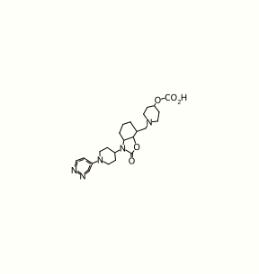 O=C(O)OC1CCN(CC2CCCC3C2OC(=O)N3C2CCN(c3ccnnc3)CC2)CC1